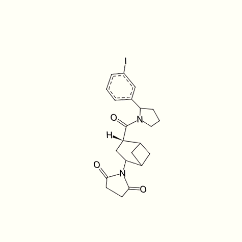 O=C([C@H]1CC(N2C(=O)CCC2=O)C2CC1C2)N1CCCC1c1cccc(I)c1